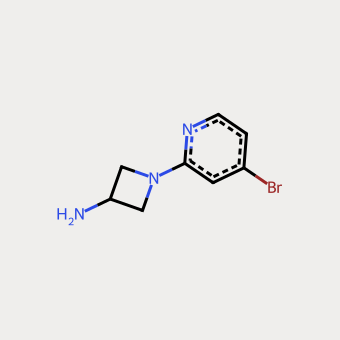 NC1CN(c2cc(Br)ccn2)C1